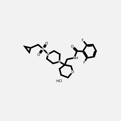 Cl.O=C(NCC1(N2CCN(S(=O)(=O)CC3CC3)CC2)CCCOC1)c1c(F)cccc1F